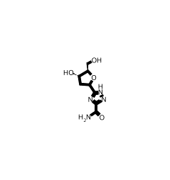 NC(=O)c1n[nH]c(C2C[C@H](O)[C@@H](CO)O2)n1